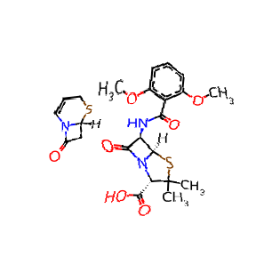 COc1cccc(OC)c1C(=O)N[C@@H]1C(=O)N2[C@@H]1SC(C)(C)[C@@H]2C(=O)O.O=C1C[C@H]2SCC=CN12